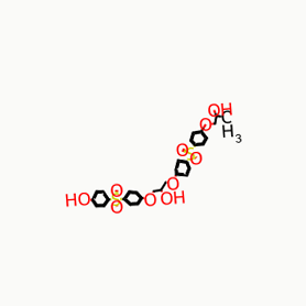 CC(O)COc1ccc(S(=O)(=O)c2ccc(OCC(O)COc3ccc(S(=O)(=O)c4ccc(O)cc4)cc3)cc2)cc1